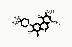 Cn1cc(C(=O)O)c(=O)c2c3cc(N4CCC(C)(C)CC4)c(Cl)c(F)c3ncc21